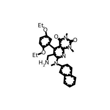 CCOc1ccc(OCC)c(-c2c(CN)c(N(C)c3ccc4ccccc4c3)nc3c2c(=O)n(C)c(=O)n3C)c1